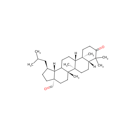 CC(C)C[C@@H]1CC[C@]2(C=O)CC[C@]3(C)C(CC[C@@H]4[C@@]5(C)CCC(=O)C(C)(C)[C@@H]5CC[C@]43C)[C@@H]12